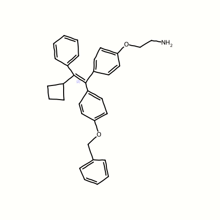 NCCOc1ccc(/C(=C(\c2ccccc2)C2CCC2)c2ccc(OCc3ccccc3)cc2)cc1